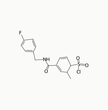 CC1C=C(C(=O)NCc2ccc(F)cc2)C=CC1S(=O)(=O)Cl